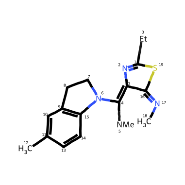 CCC1=NC(=C(/NC)N2CCc3cc(C)ccc32)/C(=N\C)S1